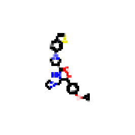 O=C(NC(CN1CCC1)C(O)c1ccc(OC2CC2)cc1)[C@@H]1CCN(c2ccc3ccsc3c2)C1